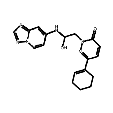 O=c1ccc(C2=CCCCC2)nn1CC(O)Nc1ccn2ncnc2c1